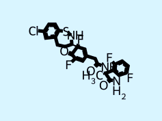 C[C@](NC(=O)CC1=CC(F)([C@H]2CCc3cc(Cl)ccc3SN2)C(=O)C(F)=C1)(C(N)=O)c1cc(F)ccc1F